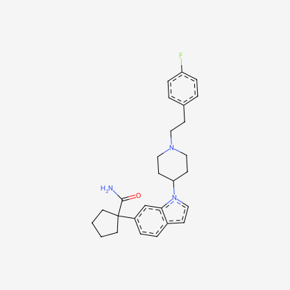 NC(=O)C1(c2ccc3ccn(C4CCN(CCc5ccc(F)cc5)CC4)c3c2)CCCC1